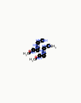 C=CC(=O)Nc1cccc(-c2cccc3cnc(Nc4ccc(NC5CCN(C)CC5)cc4)nc23)c1.C=CC(=O)Nc1cccc(-c2cccc3cnc(Nc4ccc(NC5CCNCC5)cc4)nc23)c1